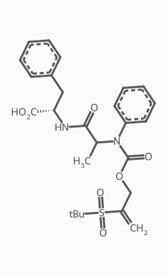 C=C(COC(=O)N(c1ccccc1)C(C)C(=O)N[C@@H](Cc1ccccc1)C(=O)O)S(=O)(=O)C(C)(C)C